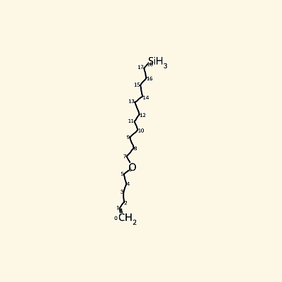 C=CCCCCOCCCCCCCCCCC[SiH3]